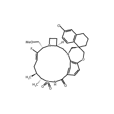 COC[C@H]1/C(F)=C/C[C@H](C)[C@@H](C)S(=O)(=O)NC(=O)c2ccc3c(c2)N(C[C@@H]2CCN21)C[C@@]1(CCCc2cc(Cl)ccc21)CO3